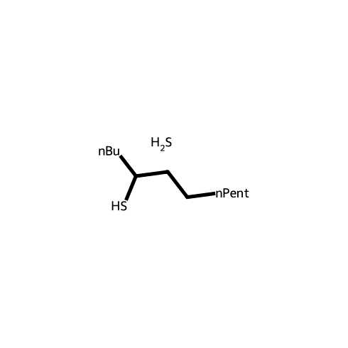 CCCCCCCC(S)CCCC.S